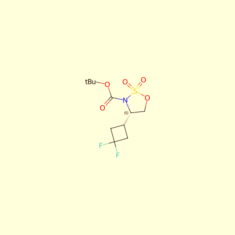 CC(C)(C)OC(=O)N1[C@@H](C2CC(F)(F)C2)COS1(=O)=O